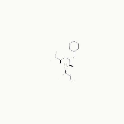 C[C@H](N)C(=O)N[C@@H](CC1CCCCC1)C(=O)N[C@@H](CS)C(=O)O